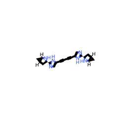 C(C#Cc1cnc([C@@H]2C[C@H]3C[C@H]3N2)[nH]1)#Cc1cnc([C@@H]2C[C@H]3C[C@H]3N2)[nH]1